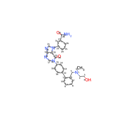 CN(CCO)Cc1ccccc1-c1ccc(-n2cnc3ncn(-c4cccc(C(N)=O)c4)c3c2=O)cc1